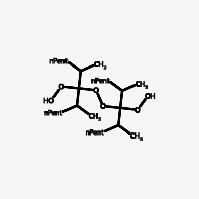 CCCCCC(C)C(OO)(OOC(OO)(C(C)CCCCC)C(C)CCCCC)C(C)CCCCC